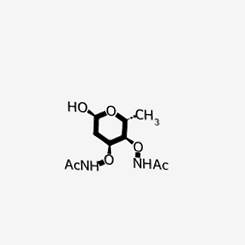 CC(=O)NO[C@H]1[C@@H](ONC(C)=O)C[C@@H](O)O[C@@H]1C